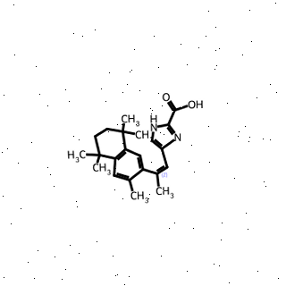 C/C(=C/c1c[nH]c(C(=O)O)n1)c1cc2c(cc1C)C(C)(C)CCC2(C)C